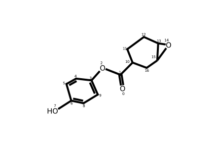 O=C(Oc1ccc(O)cc1)C1CCC2OC2C1